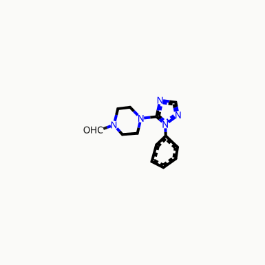 O=CN1CCN(c2ncnn2-c2ccccc2)CC1